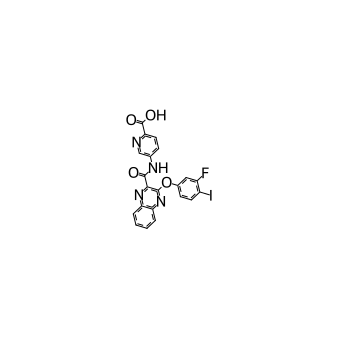 O=C(O)c1ccc(NC(=O)c2nc3ccccc3nc2Oc2ccc(I)c(F)c2)cn1